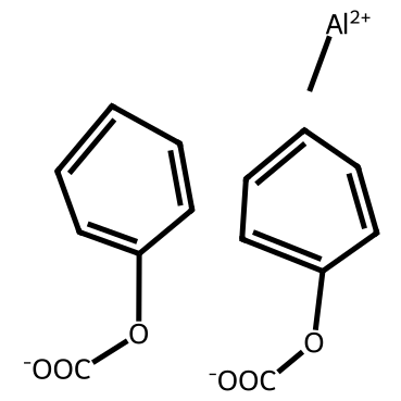 O=C([O-])Oc1ccccc1.O=C([O-])Oc1ccccc1.[CH3][Al+2]